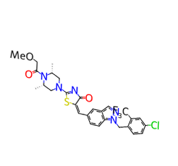 COCC(=O)N1[C@H](C)CN(C2=NC(=O)C(=Cc3ccc4c(cnn4Cc4ccc(Cl)cc4C(F)(F)F)c3)S2)C[C@@H]1C